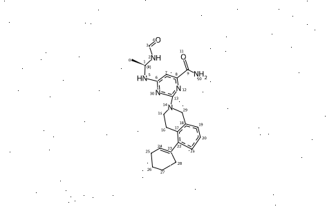 C[C@@H](NC=O)Nc1cc(C(N)=O)nc(N2CCc3c(cccc3C3=CCCCC3)C2)n1